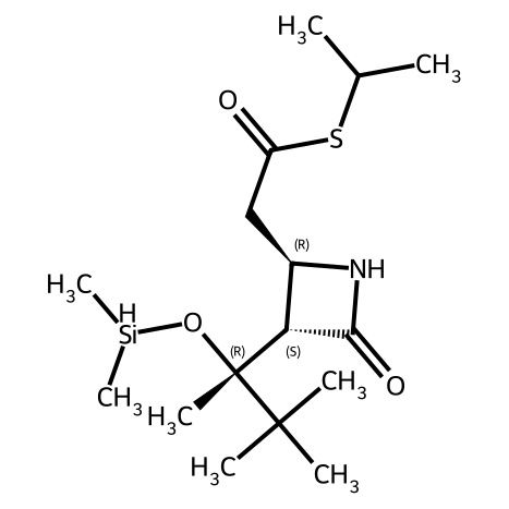 CC(C)SC(=O)C[C@H]1NC(=O)[C@@H]1[C@@](C)(O[SiH](C)C)C(C)(C)C